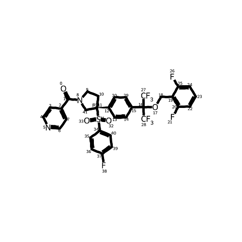 O=C(c1ccncc1)N1CC[C@](c2ccc(C(OCc3c(F)cccc3F)(C(F)(F)F)C(F)(F)F)cc2)(S(=O)(=O)c2ccc(F)cc2)C1